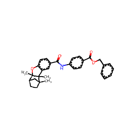 CC12CCC(C1)C1(C)Oc3ccc(C(=O)Nc4ccc(C(=O)OCc5ccccc5)cc4)cc3C21C